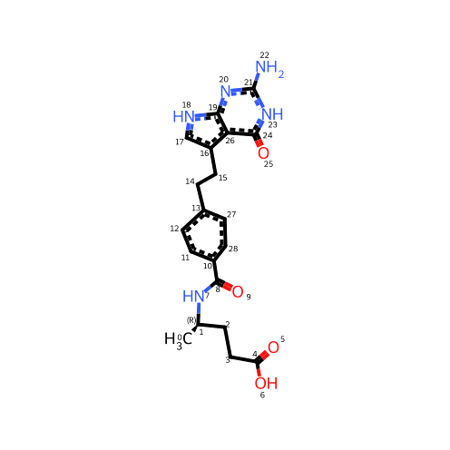 C[C@H](CCC(=O)O)NC(=O)c1ccc(CCc2c[nH]c3nc(N)[nH]c(=O)c23)cc1